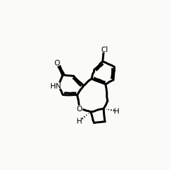 O=c1cc2c(c[nH]1)O[C@@H]1CC[C@@H]1Cc1ccc(Cl)cc1-2